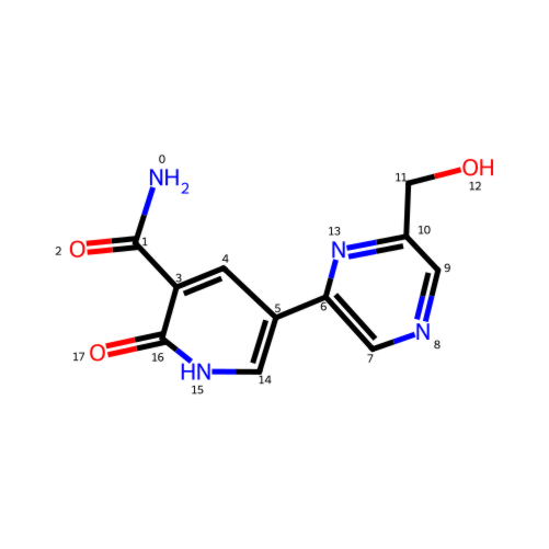 NC(=O)c1cc(-c2cncc(CO)n2)c[nH]c1=O